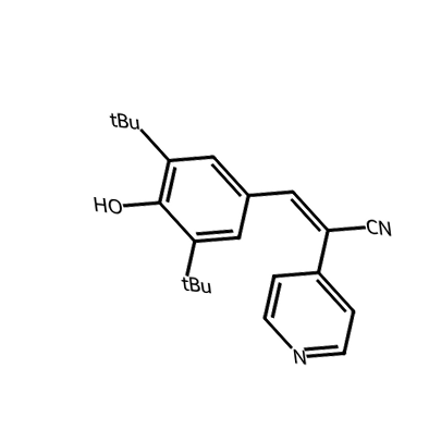 CC(C)(C)c1cc(C=C(C#N)c2ccncc2)cc(C(C)(C)C)c1O